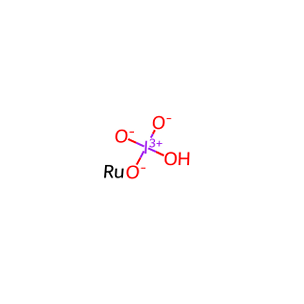 [O-][I+3]([O-])([O-])O.[Ru]